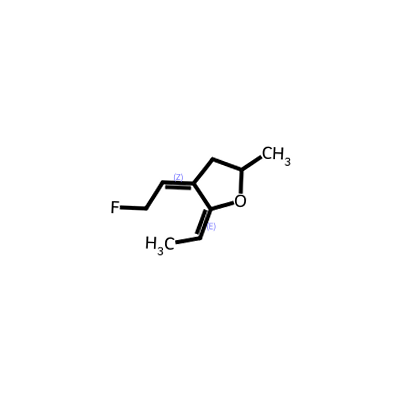 C/C=C1/OC(C)C/C1=C/CF